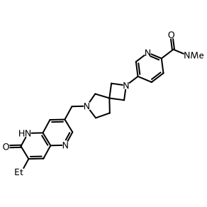 CCc1cc2ncc(CN3CCC4(C3)CN(c3ccc(C(=O)NC)nc3)C4)cc2[nH]c1=O